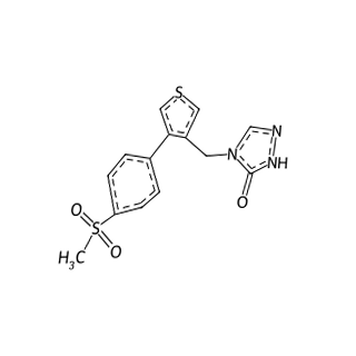 CS(=O)(=O)c1ccc(-c2cscc2Cn2cn[nH]c2=O)cc1